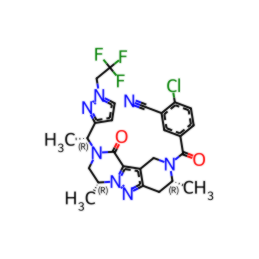 C[C@@H]1Cc2nn3c(c2CN1C(=O)c1ccc(Cl)c(C#N)c1)C(=O)N([C@H](C)c1ccn(CC(F)(F)F)n1)C[C@H]3C